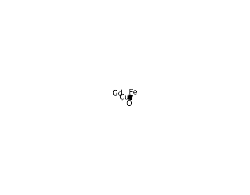 [Cu].[Gd].[O]=[Fe]